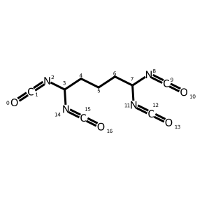 O=C=NC(CCCC(N=C=O)N=C=O)N=C=O